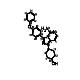 Nc1nccc2c(C3CCC(O)CC3)nc(-c3ccc(Oc4ccccc4)cc3)n12